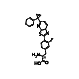 N[C@@H](Cc1ccc(-c2nc3ccc(C4(c5ccccc5)C=C4)nc3s2)c(F)c1)C(=O)O